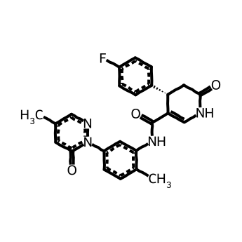 Cc1cnn(-c2ccc(C)c(NC(=O)C3=CNC(=O)C[C@H]3c3ccc(F)cc3)c2)c(=O)c1